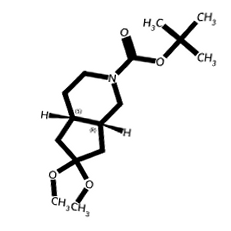 COC1(OC)C[C@H]2CN(C(=O)OC(C)(C)C)CC[C@H]2C1